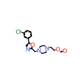 O=COCCN1CCN(Cc2ncc(-c3cccc(Cl)c3)o2)CC1